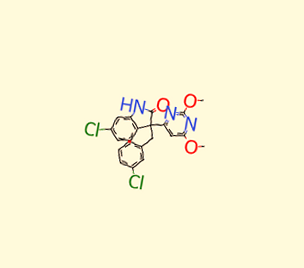 COc1cc(C2(Cc3cccc(Cl)c3)C(=O)Nc3cc(Cl)ccc32)nc(OC)n1